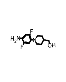 Nc1cc(F)c(N2CCC(CO)CC2)cc1F